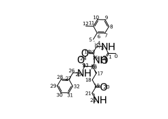 CC(=O)N[C@@H](Cc1ccccc1C)C(=O)N[C@@H](CCC(=O)C=N)C(=O)NCc1ccccc1